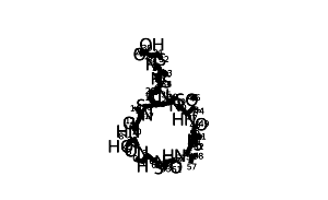 C/C=C1\NC(=O)[C@H]([C@@H](C)O)NC(=O)c2csc(n2)-c2ccc(-c3nc(-c4nc(C(=O)O)cs4)cs3)nc2-c2csc(n2)[C@H]([C@@H](C)OC)NC(=O)c2csc(n2)[C@H](C(C)C)NC(=O)c2csc1n2